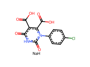 O=C(O)c1c(C(=O)O)n(-c2ccc(Cl)cc2)c(=O)[nH]c1=O.[NaH]